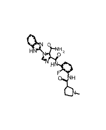 CN1CCCC(C(=O)Nc2cccc(NC(=O)c3ncn(-c4nc5ccccc5[nH]4)c3C(N)=O)c2F)C1